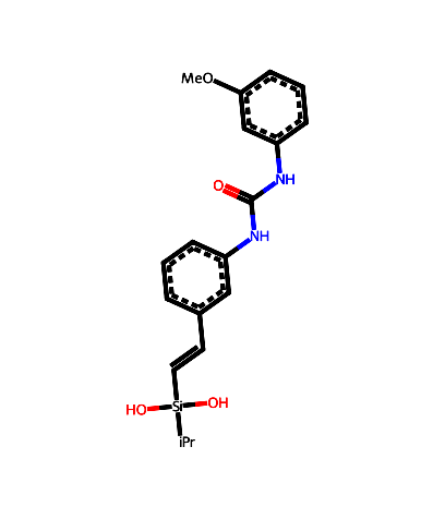 COc1cccc(NC(=O)Nc2cccc(/C=C/[Si](O)(O)C(C)C)c2)c1